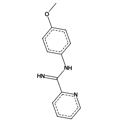 COc1ccc(NC(=N)c2ccccn2)cc1